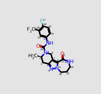 C[C@@H]1Cc2nn3c(c2CN1C(=O)Nc1ccc(F)c(C(F)(F)F)c1)C(=O)NCCC3